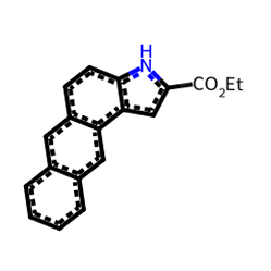 CCOC(=O)c1cc2c(ccc3cc4ccccc4cc32)[nH]1